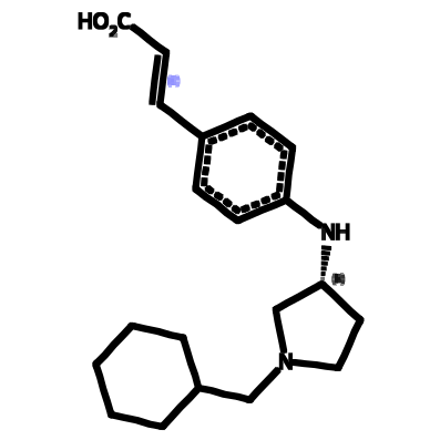 O=C(O)/C=C/c1ccc(N[C@@H]2CCN(CC3CCCCC3)C2)cc1